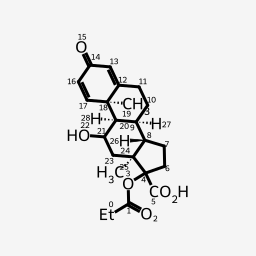 CCC(=O)OC1(C(=O)O)CC[C@H]2[C@@H]3CCC4=CC(=O)C=C[C@]4(C)[C@@H]3C(O)C[C@@]21C